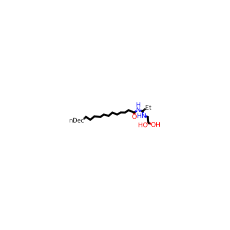 CCCCCCCCCCCCCCCCCCCCCC(=O)NC(CC)NCC(O)O